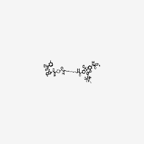 CCN(C(=O)Cn1c(C(=O)N[C@H]2CC[C@H](C(=O)NCCCCCCCCNC(=O)c3ccc4c(c3)C(=O)OC43c4ccc(NC(=O)C(F)(F)F)cc4Oc4cc(NC(=O)C(F)(F)F)ccc43)CC2)cc2sccc21)c1cccc(C)c1